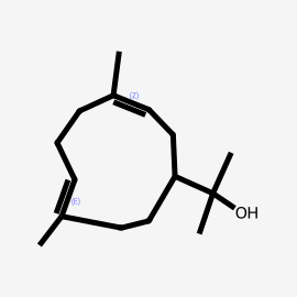 C/C1=C/CC(C(C)(C)O)CC/C(C)=C/CC1